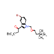 CCOC(=O)CC(=O)c1cn(COCC[Si](C)(C)C)c2ccc(Br)cc12